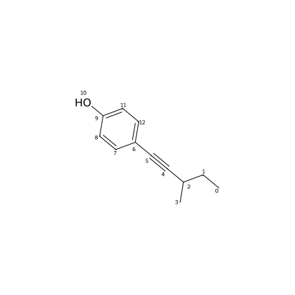 CCC(C)C#Cc1ccc(O)cc1